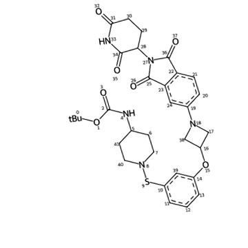 CC(C)(C)OC(=O)NC1CCN(Sc2cccc(OC3CN(c4ccc5c(c4)C(=O)N(C4CCC(=O)NC4=O)C5=O)C3)c2)CC1